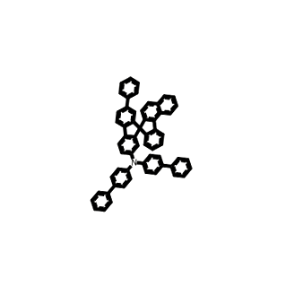 c1ccc(-c2ccc(N(c3ccc(-c4ccccc4)cc3)c3ccc4c(c3)C3(c5cc(-c6ccccc6)ccc5-4)c4ccccc4-c4c3ccc3ccccc43)cc2)cc1